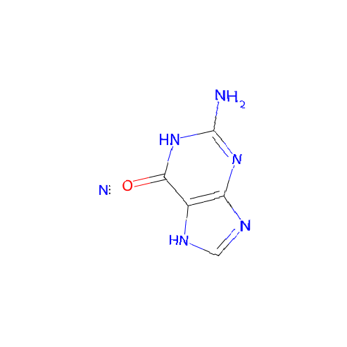 Nc1nc2nc[nH]c2c(=O)[nH]1.[N]